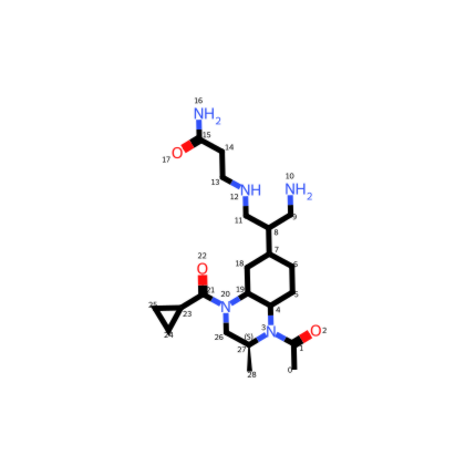 CC(=O)N1C2CCC(C(CN)CNCCC(N)=O)CC2N(C(=O)C2CC2)C[C@@H]1C